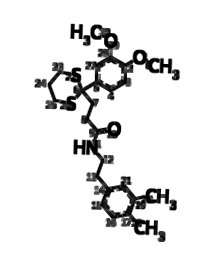 COc1ccc(C2(CCC(=O)NCCc3ccc(C)c(C)c3)SCCCS2)cc1OC